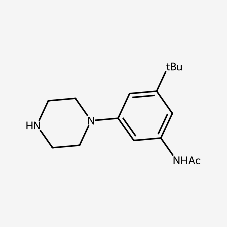 CC(=O)Nc1cc(N2CCNCC2)cc(C(C)(C)C)c1